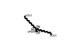 CCCCCCCC/C=C\CCCCCCCC(=O)C(O)C(O)(C(=O)CCCCCCC/C=C\CCCCCCCC)C(O)(CCCCC)CCCCC